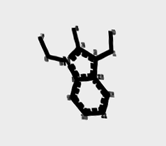 CCc1c(C)n(CC)c2ccccc12